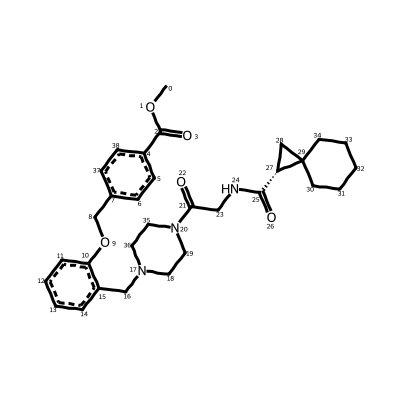 COC(=O)c1ccc(COc2ccccc2CN2CCN(C(=O)CNC(=O)[C@@H]3CC34CCCCC4)CC2)cc1